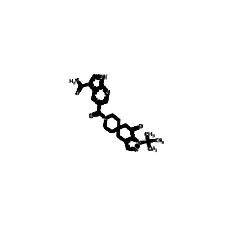 CC(C)(C)n1ncc2c1C(=O)CC1(CCN(C(=O)c3cnc4[nH]cc(C(N)=O)c4c3)CC1)C2